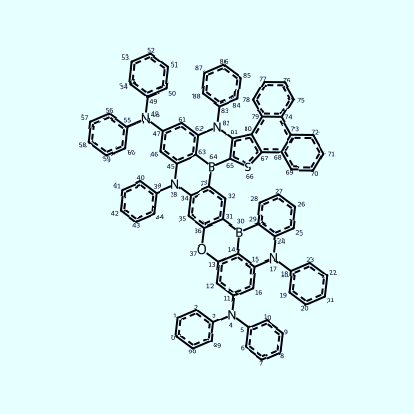 c1ccc(N(c2ccccc2)c2cc3c4c(c2)N(c2ccccc2)c2ccccc2B4c2cc4c(cc2O3)N(c2ccccc2)c2cc(N(c3ccccc3)c3ccccc3)cc3c2B4c2sc4c5ccccc5c5ccccc5c4c2N3c2ccccc2)cc1